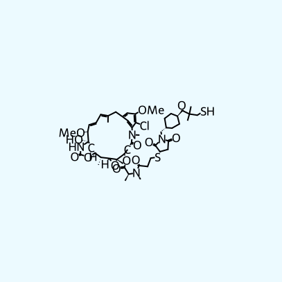 COc1cc2cc(c1Cl)N(C)C(=O)C[C@H](OC(=O)[C@H](C)N(C)C(=O)CCS[C@H]1CC(=O)N(C[C@H]3CC[C@H](C(=O)C(C)(C)CS)CC3)C1=O)[C@]1(C)O[C@H]1[C@H](C)[C@@H]1C[C@@](O)(NC(=O)O1)[C@H](OC)/C=C/C=C(\C)C2